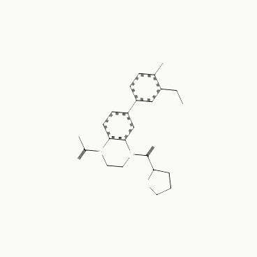 CCc1cc(-c2ccc3c(c2)N(C(=O)C2CCCO2)C[C@H](C)N3C(C)=O)ccc1C